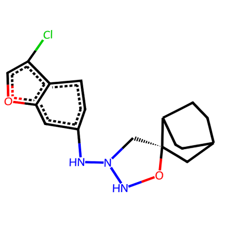 Clc1coc2cc(NN3C[C@]4(CC5CCC4CC5)ON3)ccc12